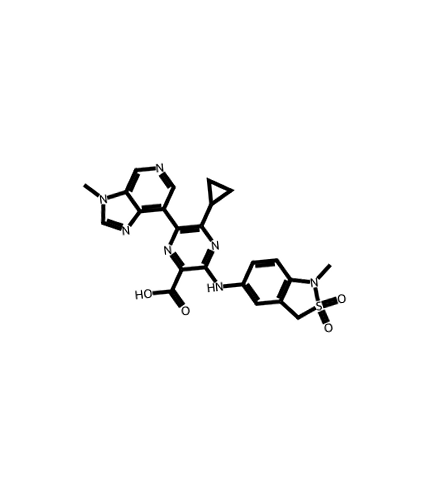 CN1c2ccc(Nc3nc(C4CC4)c(-c4cncc5c4ncn5C)nc3C(=O)O)cc2CS1(=O)=O